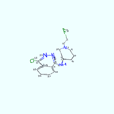 FCCN1CCC[C@@H](Nc2nnc(Cl)c3ccccc23)C1